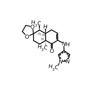 C[C@H]1[C@@H]2CC=C(Nc3cnn(C)c3)C(=O)[C@@]2(C)CCC12OCCO2